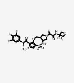 Cn1cc2c(c1C(=O)Nc1cc(F)c(F)c(F)c1)OCC1CN(C(=O)C(=O)NC3(C)COC3)CC1NS2(=O)=O